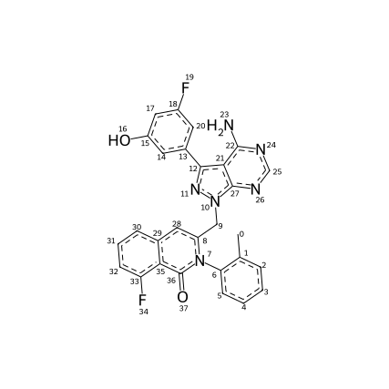 Cc1ccccc1-n1c(Cn2nc(-c3cc(O)cc(F)c3)c3c(N)ncnc32)cc2cccc(F)c2c1=O